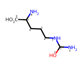 NC(O)NCCCC(N)C(=O)O